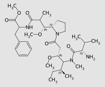 CC[C@H](C)C([C@@H](CC(=O)N1CCC[C@H]1[C@H](OC)C(C)C(=O)NC(Cc1ccccc1)C(=O)OC)OC)N(C)C(=O)[C@@H](N)C(C)C